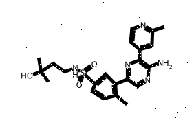 Cc1cc(-c2nc(-c3cc(S(=O)(=O)NCCC(C)(C)O)ccc3C)cnc2N)ccn1